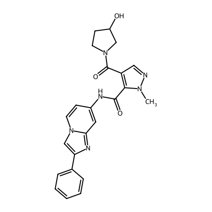 Cn1ncc(C(=O)N2CCC(O)C2)c1C(=O)Nc1ccn2cc(-c3ccccc3)nc2c1